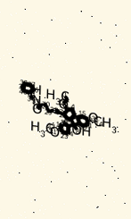 CCOc1ccc(C(O)(c2ccc(OC)cc2)c2ccc(OC)cc2)cc1C#CCCC(=O)NCc1ccccc1